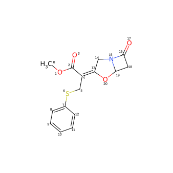 COC(=O)C(CSc1ccccc1)=C1CN2C(=O)CC2O1